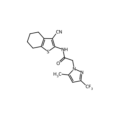 Cc1cc(C(F)(F)F)nn1CC(=O)Nc1sc2c(c1C#N)CCCC2